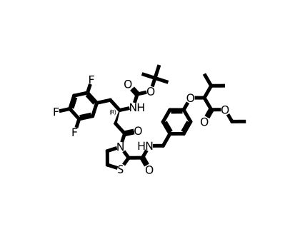 CCOC(=O)C(Oc1ccc(CNC(=O)C2SCCN2C(=O)C[C@@H](Cc2cc(F)c(F)cc2F)NC(=O)OC(C)(C)C)cc1)C(C)C